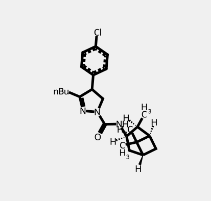 CCCCC1=NN(C(=O)N[C@@H]2C[C@H]3C[C@H]([C@@H]2C)C3(C)C)CC1c1ccc(Cl)cc1